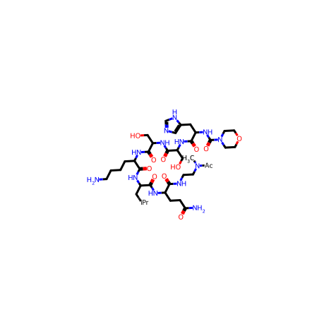 CC(=O)N(C)CCNC(=O)C(CCC(N)=O)NC(=O)C(CC(C)C)NC(=O)C(CCCCN)NC(=O)C(CO)NC(=O)C(CO)NC(=O)C(Cc1cnc[nH]1)NC(=O)N1CCOCC1